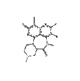 Cc1nc2c3c(nc(=O)n2I)N2CCN(I)CC2C(=O)N(C)c3c1F